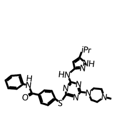 CC(C)c1cc(Nc2nc(Sc3ccc(C(=O)Nc4ccccc4)cc3)nc(N3CCN(C)CC3)n2)n[nH]1